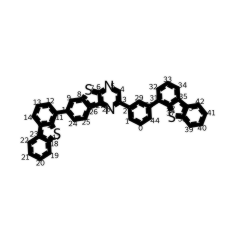 c1cc(-c2cnc3sc4cc(-c5cccc6c5sc5ccccc56)ccc4c3n2)cc(-c2cccc3c2sc2ccccc23)c1